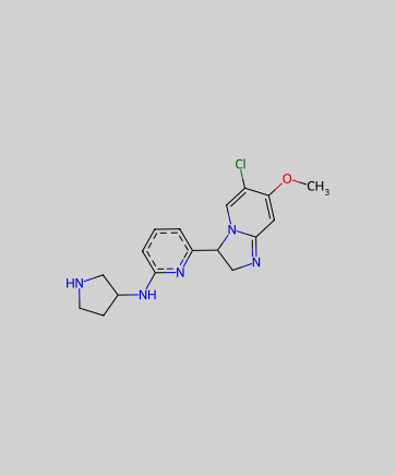 COC1=CC2=NCC(c3cccc(NC4CCNC4)n3)N2C=C1Cl